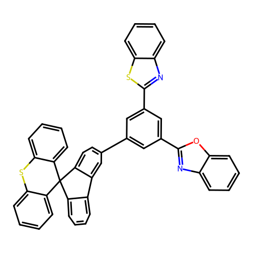 c1ccc2c(c1)Sc1ccccc1C21c2ccccc2-c2cc(-c3cc(-c4nc5ccccc5o4)cc(-c4nc5ccccc5s4)c3)ccc21